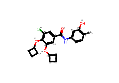 CC(=O)c1ccc(NC(=O)c2cc(Cl)c(OC3CCC3)c(OC3CCC3)c2)cc1O